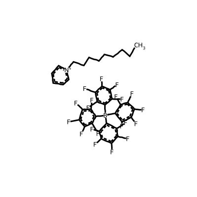 CCCCCCCCC[n+]1ccccc1.Fc1c(F)c(F)c([B-](c2c(F)c(F)c(F)c(F)c2F)(c2c(F)c(F)c(F)c(F)c2F)c2c(F)c(F)c(F)c(F)c2F)c(F)c1F